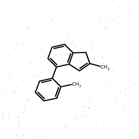 CC1=Cc2c(cccc2-c2ccccc2C)C1